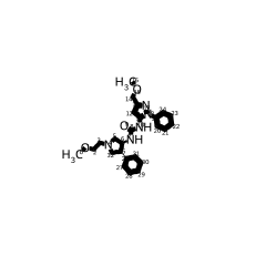 COCCN1C[C@@H](NC(=O)Nc2cc(COC)nn2-c2ccccc2)[C@H](c2ccccc2)C1